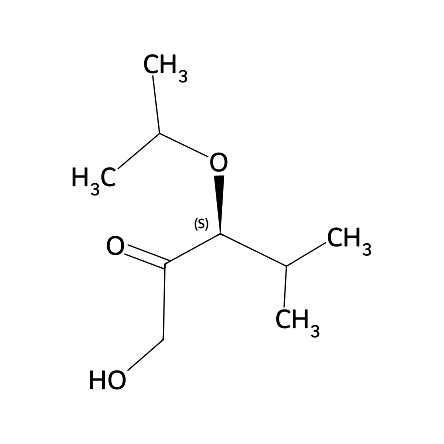 CC(C)O[C@H](C(=O)CO)C(C)C